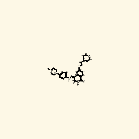 CN1CCN(c2ccc(NC=C3C(=O)NC(=O)c4ccc(OCCN5CCOCC5)cc43)cc2)CC1